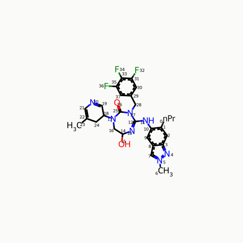 CCCc1cc2nn(C)cc2cc1NC1=NC(O)CN(C2C=NC=C(C)C2)C(=O)N1Cc1cc(F)c(F)c(F)c1